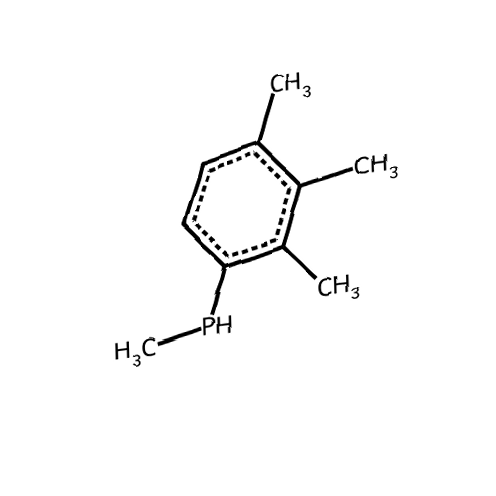 CPc1ccc(C)c(C)c1C